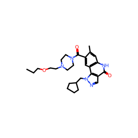 CCCOCCN1CCN(C(=O)c2cc3c(cc2C)[nH]c(=O)c2cnn(CC4CCCC4)c23)CC1